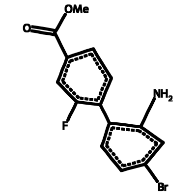 COC(=O)c1ccc(-c2ccc(Br)cc2N)c(F)c1